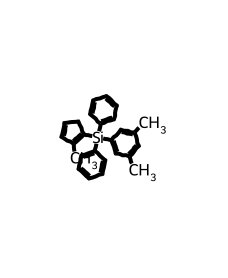 CC1=C([Si](c2ccccc2)(c2ccccc2)c2cc(C)cc(C)c2)CC=C1